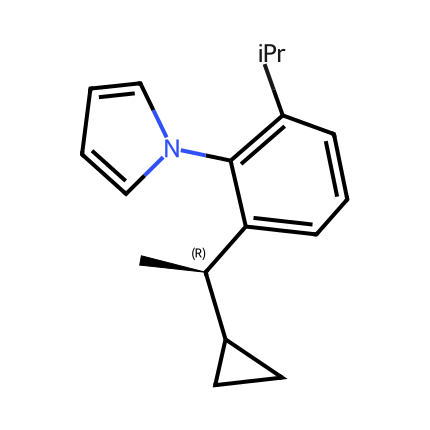 CC(C)c1cccc([C@H](C)C2CC2)c1-n1cccc1